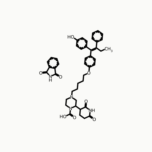 CCC(=C(c1ccc(O)cc1)c1ccc(OCCCCCN2CCN(C(=O)O)C(C3CCC(=O)NC3=O)C2)cc1)c1ccccc1.O=C1NC(=O)c2ccccc21